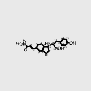 O=C(C=Cc1ccc2c(c1)CCC2NC(CO)Cc1ccc(O)cc1)NO